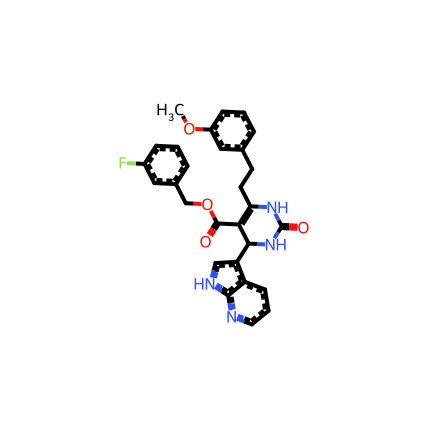 COc1cccc(CCC2=C(C(=O)OCc3cccc(F)c3)C(c3c[nH]c4ncccc34)NC(=O)N2)c1